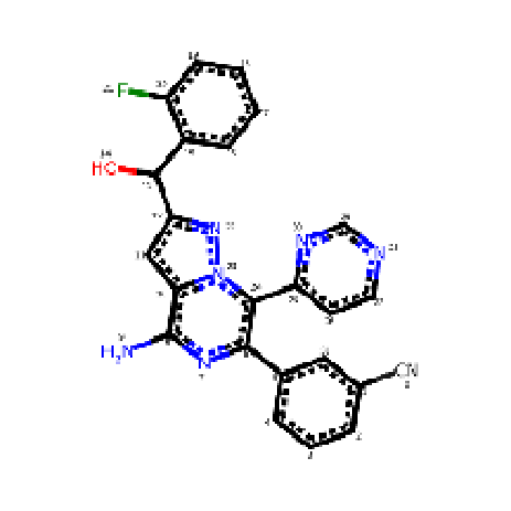 N#Cc1cccc(-c2nc(N)c3cc(C(O)c4ccccc4F)nn3c2-c2ccncn2)c1